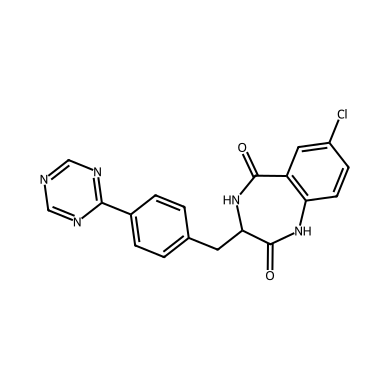 O=C1NC(Cc2ccc(-c3ncncn3)cc2)C(=O)Nc2ccc(Cl)cc21